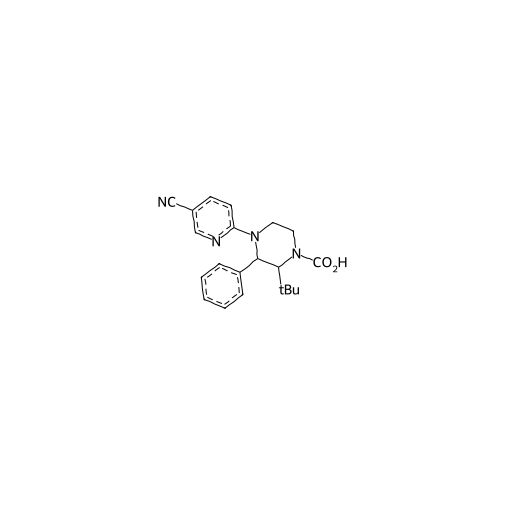 CC(C)(C)C1C(c2ccccc2)N(c2ccc(C#N)cn2)CCN1C(=O)O